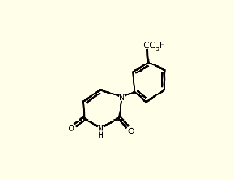 O=C(O)c1cccc(-n2ccc(=O)[nH]c2=O)c1